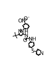 CC(C)(C)c1cc(NC(=O)Nc2ccc(Sc3ccncc3)cc2)n(-c2cccc([N+](=O)[O-])c2)n1